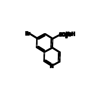 O=S(=O)(O)c1cc(Br)cc2cnccc12.[NaH]